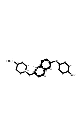 CCCC1CCC(Oc2ccc3nc(CN4CCC(C(=O)OCC)CC4)ccc3c2)CC1